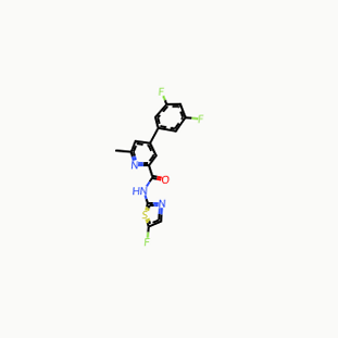 Cc1cc(-c2cc(F)cc(F)c2)cc(C(=O)Nc2ncc(F)s2)n1